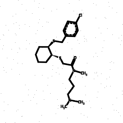 CN(C)CCCN(C)C(=O)CS[C@@H]1CCCC[C@H]1SCc1ccc(Cl)cc1